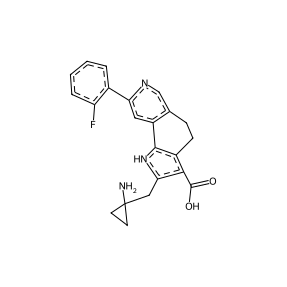 NC1(Cc2[nH]c3c(c2C(=O)O)CCc2cnc(-c4ccccc4F)cc2-3)CC1